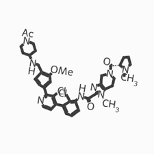 COc1cc(-c2nccc(-c3cccc(NC(=O)c4nc5c(n4C)CCN(C(=O)[C@@H]4CCCN4C)C5)c3Cl)c2Cl)ccc1CNC1CCN(C(C)=O)CC1